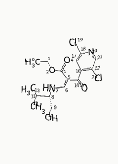 CCOC(=O)C(=CN[C@H](CO)C(C)C)C(=O)c1cc(Cl)ncc1Cl